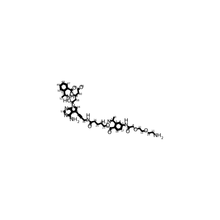 CC(N)c1cc(NC(=O)COCCOCCN)ccc1C(=O)OCCCCC(=O)NCC#Cc1cn([C@H](O)C[C@H](CC=O)OC(=O)c2ccccc2C(C)N)c2ncnc(N)c12